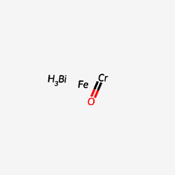 [BiH3].[Fe].[O]=[Cr]